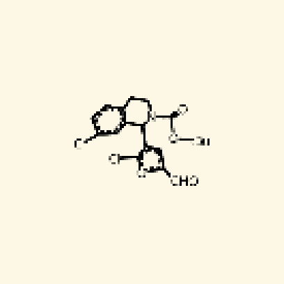 CC(C)(C)OC(=O)N1CCc2ccc(Cl)cc2C1c1cc(C=O)oc1Cl